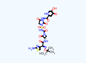 CC(C)(ON=C(C(=O)N[C@H]1CN(C(=O)NS(=O)(=O)N2CC(=O)N(NC(=O)c3cc(=O)c(O)c[nH]3)C2=O)C1=O)c1csc(N)n1)C(=O)O